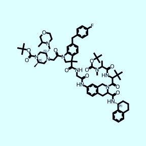 CC1COCCN1C[C@H]1CN(C(=O)OC(C)(C)C)[C@H](C)CN1CC(=O)N1CC(C)(C(=O)NCC(=O)Nc2ccc3c(c2)CN(C(=O)C(NC(=O)C(C)N(C)C(=O)OC(C)(C)C)C(C)(C)C)C(C(=O)N[C@@H]2CCCc4ccccc42)C3)c2ccc(Cc3ccc(F)cc3)cc21